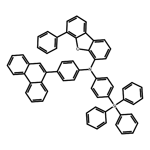 c1ccc(-c2cccc3c2oc2c(N(c4ccc(-c5cc6ccccc6c6ccccc56)cc4)c4ccc([Si](c5ccccc5)(c5ccccc5)c5ccccc5)cc4)cccc23)cc1